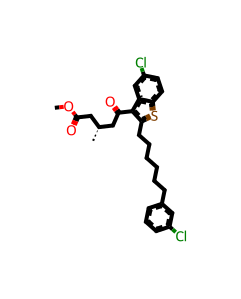 COC(=O)C[C@@H](C)CC(=O)c1c(CCCCCCc2cccc(Cl)c2)sc2ccc(Cl)cc12